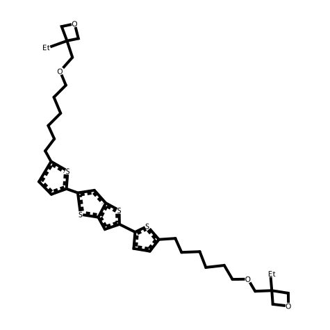 CCC1(COCCCCCCc2ccc(-c3cc4sc(-c5ccc(CCCCCCOCC6(CC)COC6)s5)cc4s3)s2)COC1